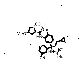 CO[C@@H]1C[C@H](C(=O)Nc2cc([C@](CCC3CC3)(N[S@+]([O-])C(C)(C)C)c3cccc(C#N)c3)ccc2F)N(C(=O)O)C1